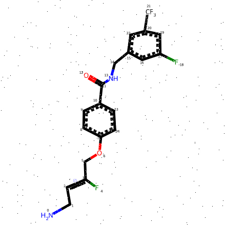 NC/C=C(\F)COc1ccc(C(=O)NCc2cc(F)cc(C(F)(F)F)c2)cc1